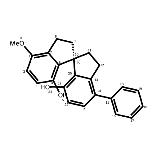 COc1ccc(O)c2c1CC[C@@]21CCc2c(-c3ccccc3)ccc(O)c21